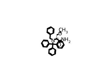 COC[C@H](C(N)=O)N(Cc1ccccc1)C(c1ccccc1)(c1ccccc1)c1ccccc1